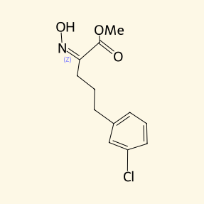 COC(=O)/C(CCCc1cccc(Cl)c1)=N\O